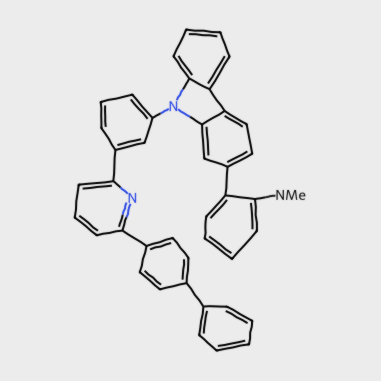 CNc1ccccc1-c1ccc2c3ccccc3n(-c3cccc(-c4cccc(-c5ccc(-c6ccccc6)cc5)n4)c3)c2c1